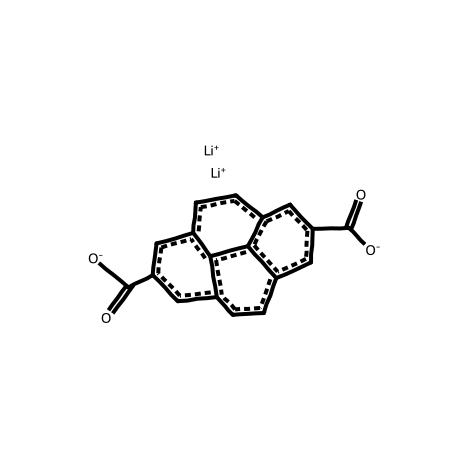 O=C([O-])c1cc2ccc3cc(C(=O)[O-])cc4ccc(c1)c2c34.[Li+].[Li+]